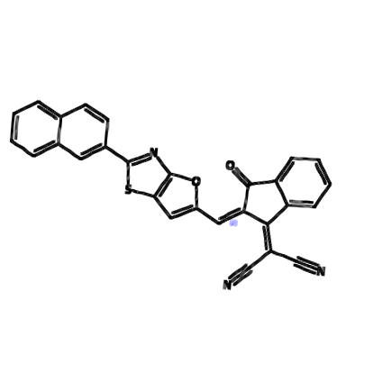 N#CC(C#N)=C1/C(=C/c2cc3sc(-c4ccc5ccccc5c4)nc3o2)C(=O)c2ccccc21